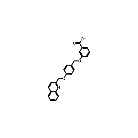 O=C(O)c1cccc(OCc2ccc(OCc3ccc4ccccc4n3)cc2)c1